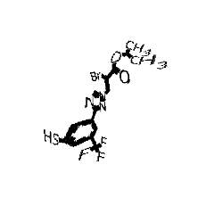 CC(C)OC(=O)/C(Br)=C/n1cnc(-c2cc(S)cc(C(F)(F)F)c2)n1